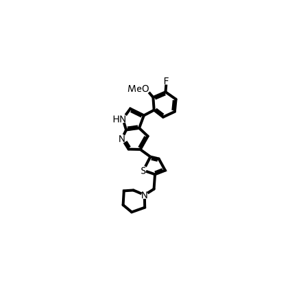 COc1c(F)cccc1-c1c[nH]c2ncc(-c3ccc(CN4CCCCC4)s3)cc12